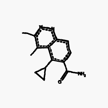 Cc1nnc2ccc(C(N)=O)c(C3CC3)c2c1C